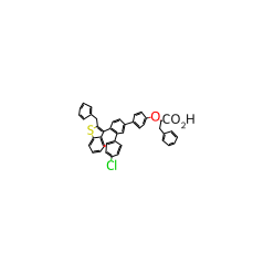 O=C(O)[C@@H](Cc1ccccc1)Oc1ccc(-c2ccc(-c3c(Cc4ccccc4)sc4ccccc34)c(-c3ccc(Cl)cc3)c2)cc1